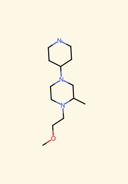 COCCN1CCN(C2CC[N]CC2)CC1C